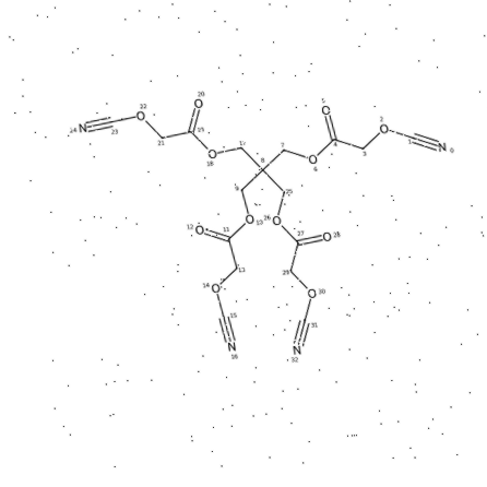 N#COCC(=O)OCC(COC(=O)COC#N)(COC(=O)COC#N)COC(=O)COC#N